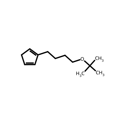 CC(C)(C)OCCCCC1=CCC=C1